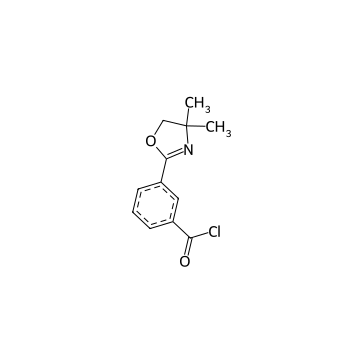 CC1(C)COC(c2cccc(C(=O)Cl)c2)=N1